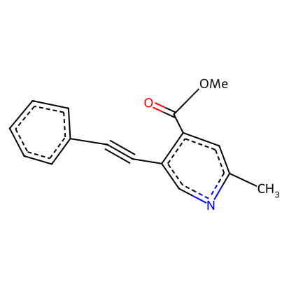 COC(=O)c1cc(C)ncc1C#Cc1ccccc1